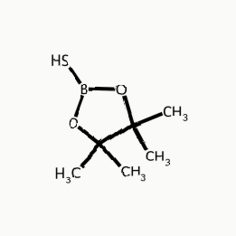 CC1(C)OB(S)OC1(C)C